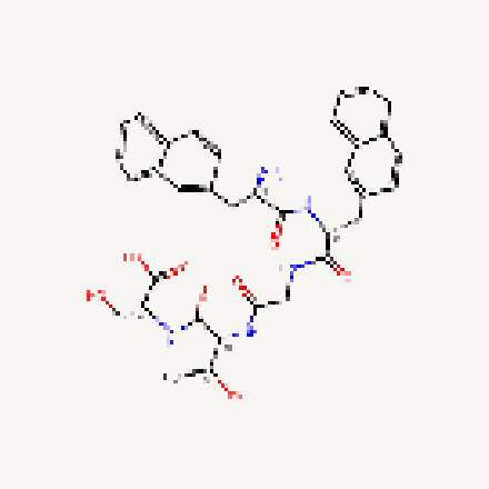 C[C@H](O)[C@@H](NC(=O)CNC(=O)[C@@H](Cc1ccc2ccccc2c1)NC(=O)[C@H](N)Cc1ccc2ccccc2c1)C(=O)N[C@H](CO)C(=O)O